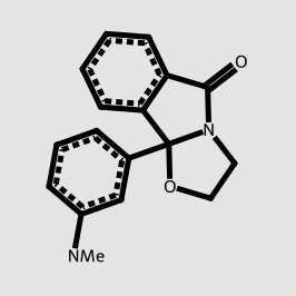 CNc1cccc(C23OCCN2C(=O)c2ccccc23)c1